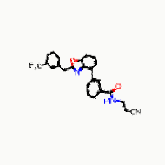 N#CCCNC(=O)c1cccc(-c2cccc3oc(Cc4cccc(C(F)(F)F)c4)nc23)c1